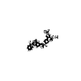 COc1cc(CC(=O)N(C)c2ccc(C3CN(C(C)=O)CC3C(=O)O)cc2)ccc1NC(=O)N(C)c1ccccc1C